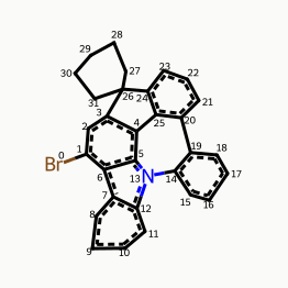 Brc1cc2c3c4c1c1ccccc1n4-c1ccccc1-c1cccc(c1-3)C21CCCCC1